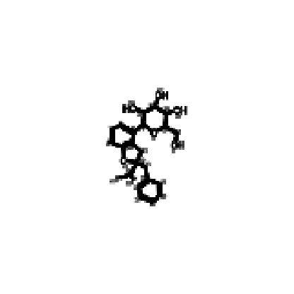 OCC1OC(c2cccc3c2CC(Cc2ccccc2)(C(F)F)O3)C(O)C(O)C1O